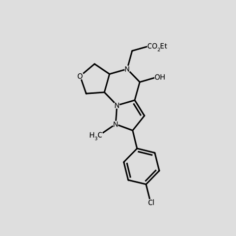 CCOC(=O)CN1C(O)C2=CC(c3ccc(Cl)cc3)N(C)N2C2COCC21